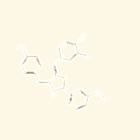 CCOc1cccc(C2NN(Cc3ccc(C(C)(C)C)cc3)C(=CN3C=C(Cl)C(Cl)=CC3)S2)c1